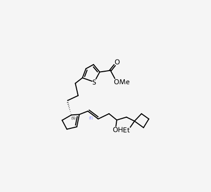 CCC1(CC(O)C/C=C/C2=CCC[C@@H]2CCCc2ccc(C(=O)OC)s2)CCC1